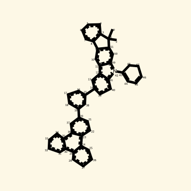 CC1(C)c2ccccc2-c2cc3c4cc(-c5cccc(-c6ccc7c8ccccc8c8ccccc8c7c6)c5)ccc4n(C4=CC=CCC4)c3cc21